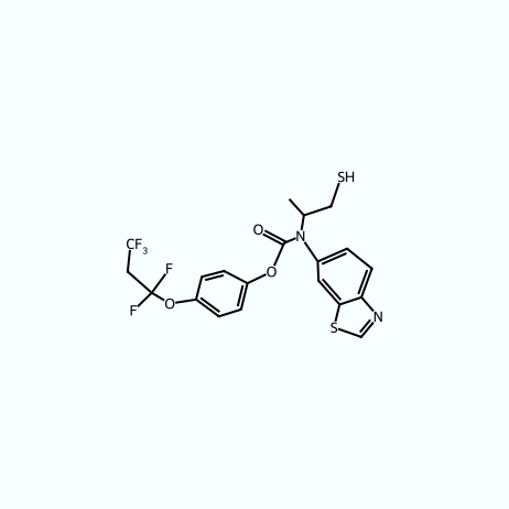 CC(CS)N(C(=O)Oc1ccc(OC(F)(F)CC(F)(F)F)cc1)c1ccc2ncsc2c1